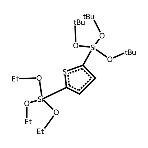 CCO[Si](OCC)(OCC)c1ccc([Si](OC(C)(C)C)(OC(C)(C)C)OC(C)(C)C)s1